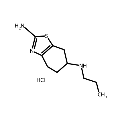 CCCNC1CCc2nc(N)sc2C1.Cl